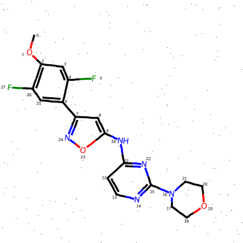 COc1cc(F)c(-c2cc(Nc3ccnc(N4CCOCC4)n3)on2)cc1F